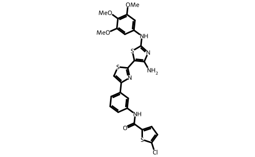 COc1cc(Nc2nc(N)c(-c3nc(-c4cccc(NC(=O)c5ccc(Cl)s5)c4)cs3)s2)cc(OC)c1OC